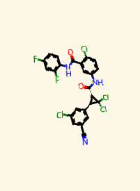 N#Cc1cc(Cl)cc([C@H]2[C@H](C(=O)Nc3ccc(Cl)c(C(=O)Nc4ccc(F)cc4F)c3)C2(Cl)Cl)c1